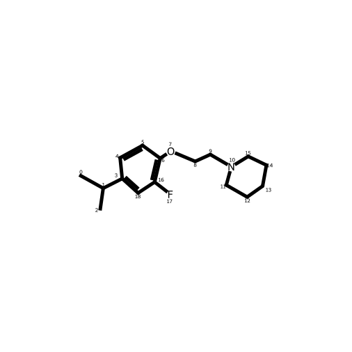 CC(C)c1ccc(OCCN2CCCCC2)c(F)c1